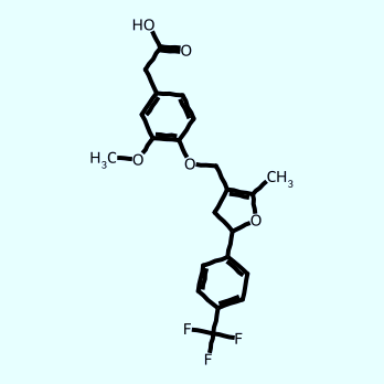 COc1cc(CC(=O)O)ccc1OCC1=C(C)OC(c2ccc(C(F)(F)F)cc2)C1